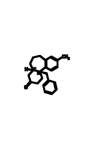 Cc1ccc2c(c1)CCC[C@H]1CC(=O)CC[C@@]21Cc1ccccc1